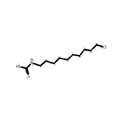 S=C(S)NCCCCCCCCCCCl